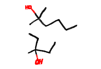 CCC(C)(O)CC.CCCCC(C)(C)O